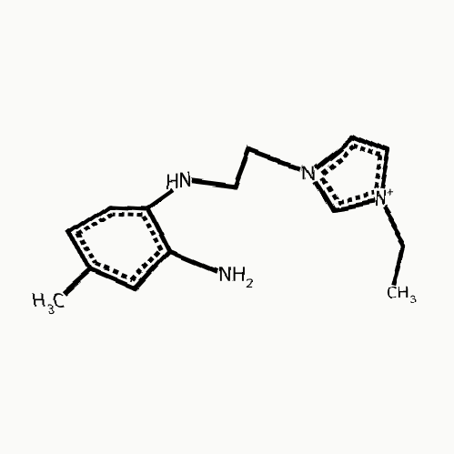 CC[n+]1ccn(CCNc2ccc(C)cc2N)c1